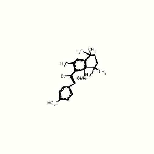 CCC(=Cc1ccc(C(=O)O)cc1)c1c(C)cc2c(c1OC)C(C)(C)CCC2(C)C